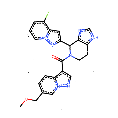 COCc1ccc2c(C(=O)N3CCc4[nH]cnc4C3c3cc4c(F)cccn4n3)cnn2c1